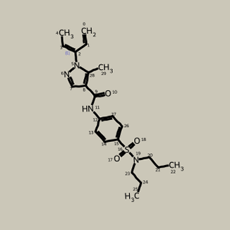 C=C/C(=C\C)n1ncc(C(=O)Nc2ccc(S(=O)(=O)N(CCC)CCC)cc2)c1C